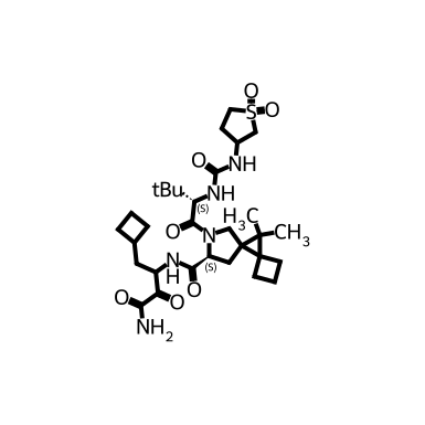 CC(C)(C)[C@H](NC(=O)NC1CCS(=O)(=O)C1)C(=O)N1CC2(C[C@H]1C(=O)NC(CC1CCC1)C(=O)C(N)=O)C(C)(C)C21CCC1